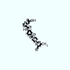 Cc1cc(C#N)nc(N2CCN(S(=O)(=O)c3ccc(NC(=O)c4ncnn4CC(=O)O)cc3)CC2)n1